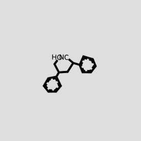 N#CC(CC(CO)c1ccccc1)c1ccccc1